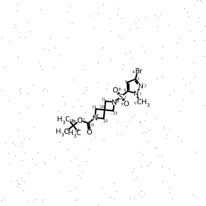 Cn1nc(Br)cc1S(=O)(=O)N1CC2(CN(C(=O)OC(C)(C)C)C2)C1